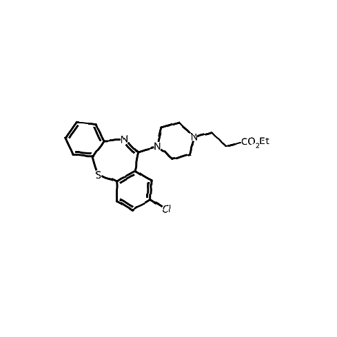 CCOC(=O)CCN1CCN(C2=Nc3ccccc3Sc3ccc(Cl)cc32)CC1